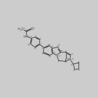 CC(=O)Nc1ccc(-c2ccc3c(c2)nc2n3CC3CC2=CN3C2CCC2)cc1